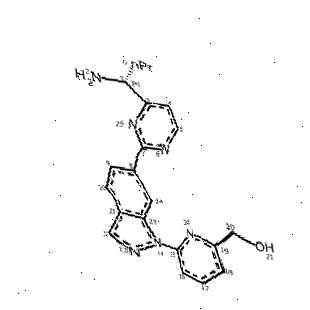 CCC[C@@H](N)c1ccnc(-c2ccc3cnn(-c4cccc(CO)n4)c3c2)n1